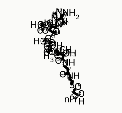 CCC[C@@H](O)CC(=O)SCCNC(=O)CCNC(=O)[C@H](O)C(C)(C)COP(=O)(O)OP(=O)(O)OC[C@H]1O[C@@H](n2cnc3c(N)ncnc32)[C@H](O)[C@@H]1OP(=O)(O)O